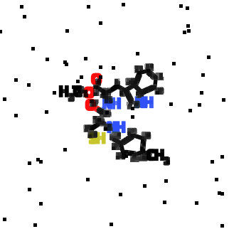 COC(=O)[C@@H](Cc1c[nH]c2ccccc12)NC(=O)[C@H](CS)NCc1ccc(C)cc1